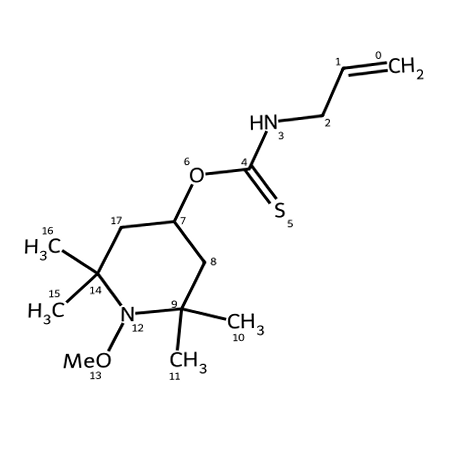 C=CCNC(=S)OC1CC(C)(C)N(OC)C(C)(C)C1